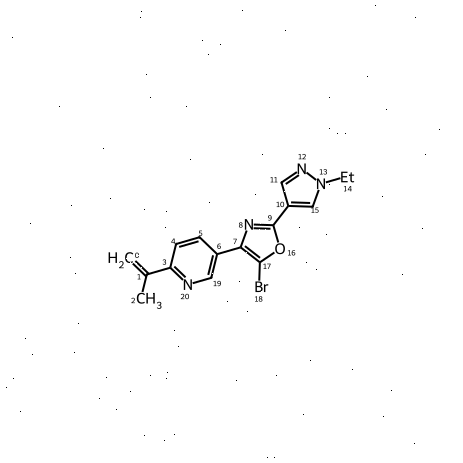 C=C(C)c1ccc(-c2nc(-c3cnn(CC)c3)oc2Br)cn1